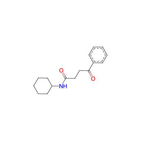 O=C(CCC(=O)c1ccccc1)NC1CCCCC1